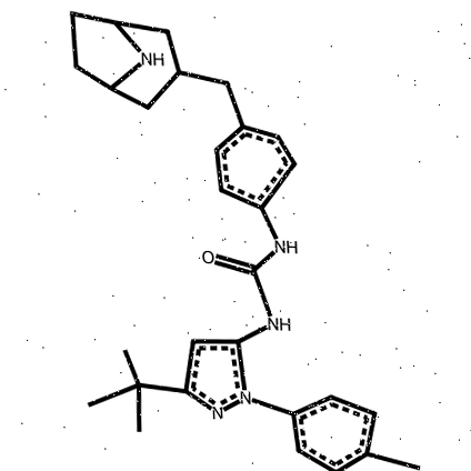 Cc1ccc(-n2nc(C(C)(C)C)cc2NC(=O)Nc2ccc(CC3CC4CCC(C3)N4)cc2)cc1